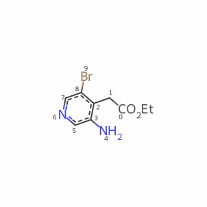 CCOC(=O)Cc1c(N)cncc1Br